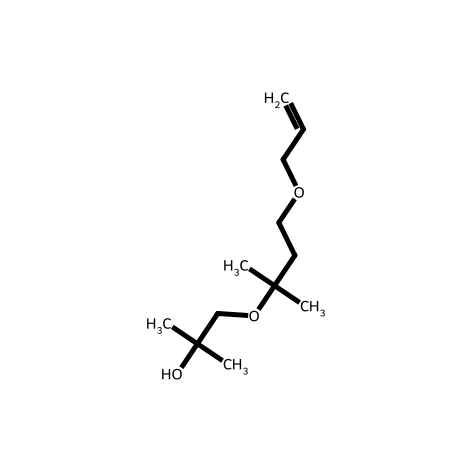 C=CCOCCC(C)(C)OCC(C)(C)O